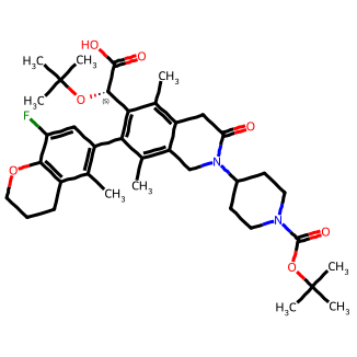 Cc1c(-c2c(C)c3c(c(C)c2[C@H](OC(C)(C)C)C(=O)O)CC(=O)N(C2CCN(C(=O)OC(C)(C)C)CC2)C3)cc(F)c2c1CCCO2